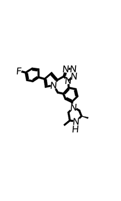 CC1CN(c2ccc3c(c2)Cn2cc(-c4ccc(F)cc4)cc2-c2nnnn2-3)C[C@@H](C)N1